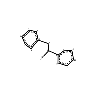 FC([CH]c1ccccc1)c1ccccc1